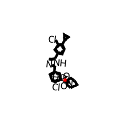 O=S(=O)(c1cc(-c2ncc(-c3ccc(C4CC4)c(Cl)c3)[nH]2)ccc1Cl)N1C2CC(O)CC1C2